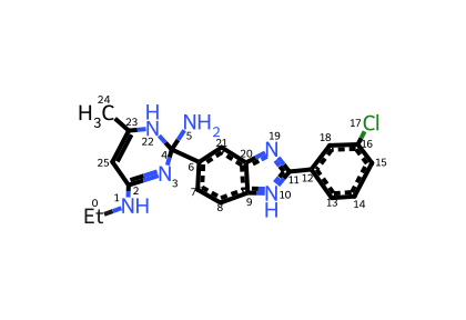 CCNC1=NC(N)(c2ccc3[nH]c(-c4cccc(Cl)c4)nc3c2)NC(C)=C1